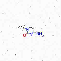 CCC(C)(C)n1ccc(N)nc1=O